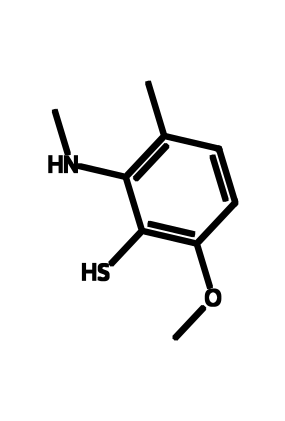 CNc1c(C)ccc(OC)c1S